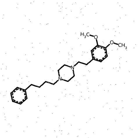 COc1ccc(CCN2CCN(CCCCc3ccccc3)CC2)cc1OC